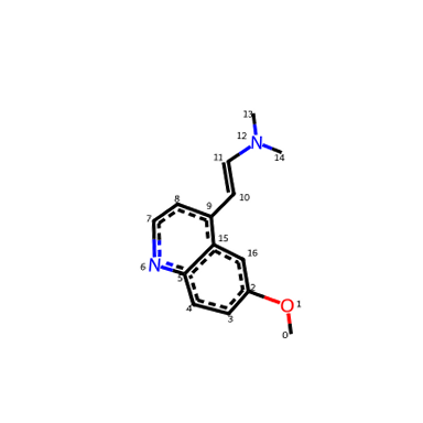 COc1ccc2nccc(C=CN(C)C)c2c1